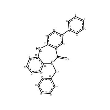 O=C1c2cc(-c3ccccc3)ccc2Nc2ccccc2N1Cc1ccccc1